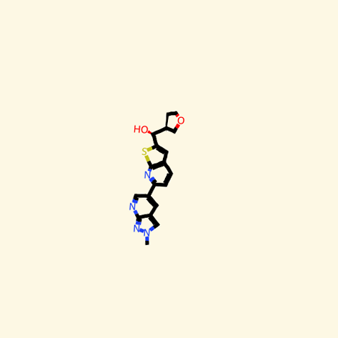 Cn1cc2cc(-c3ccc4cc([C@@H](O)[C@H]5CCOC5)sc4n3)cnc2n1